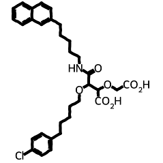 O=C(O)COC(C(=O)O)C(OCCCCCc1ccc(Cl)cc1)C(=O)NCCCCCc1ccc2ccccc2c1